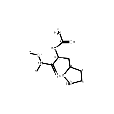 CON(C)C(=O)[C@H](CC1CCNS1)OC(N)=O